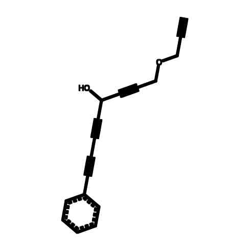 C#CCOCC#CC(O)C#CC#Cc1ccccc1